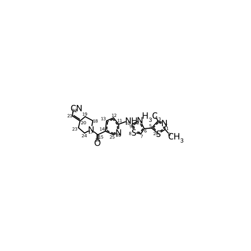 Cc1nc(C)c(-c2csc(Nc3ccc(C(=O)N4CCC(=CC#N)CC4)cn3)n2)s1